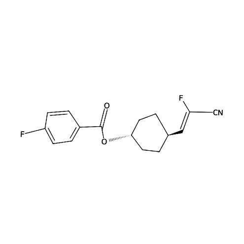 N#C/C(F)=C/[C@H]1CC[C@H](OC(=O)c2ccc(F)cc2)CC1